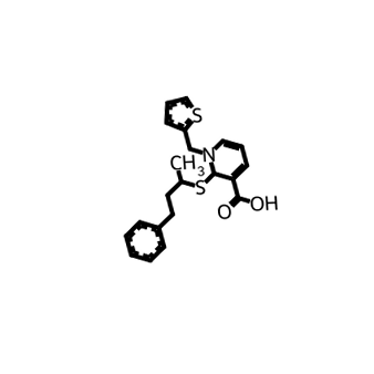 CC(CCc1ccccc1)SC1C(C(=O)O)=CC=CN1Cc1cccs1